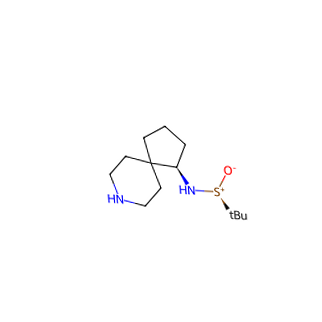 CC(C)(C)[S@+]([O-])N[C@@H]1CCCC12CCNCC2